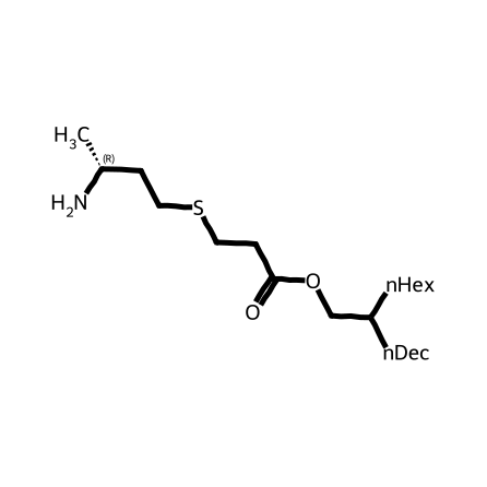 CCCCCCCCCCC(CCCCCC)COC(=O)CCSCC[C@@H](C)N